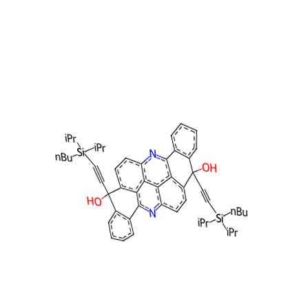 CCCC[Si](C#CC1(O)c2ccccc2-c2nc3ccc4c5c(nc6ccc1c2c6c35)-c1ccccc1C4(O)C#C[Si](CCCC)(C(C)C)C(C)C)(C(C)C)C(C)C